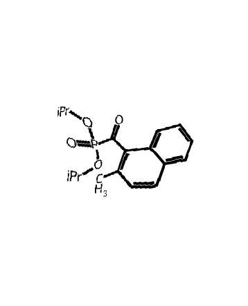 Cc1ccc2ccccc2c1C(=O)P(=O)(OC(C)C)OC(C)C